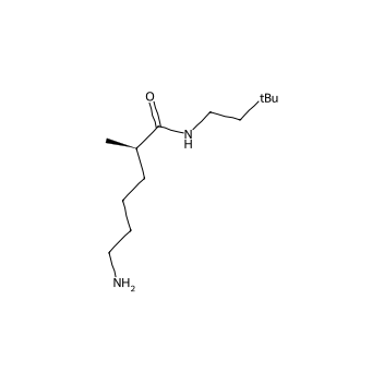 C[C@H](CCCCN)C(=O)NCCC(C)(C)C